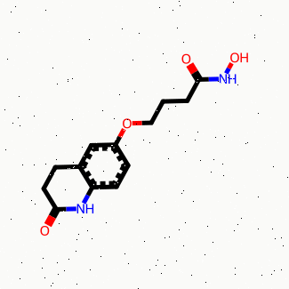 O=C(CCCOc1ccc2c(c1)CCC(=O)N2)NO